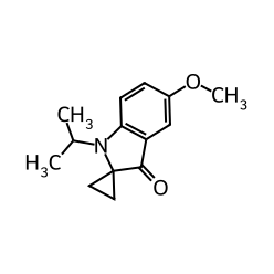 COc1ccc2c(c1)C(=O)C1(CC1)N2C(C)C